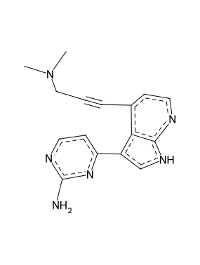 CN(C)CC#Cc1ccnc2[nH]cc(-c3ccnc(N)n3)c12